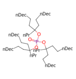 CCCCCCCCCCCCC(CCC)(CCCCCCCCCCCC)OP(=O)(OC(CCC)(CCCCCCCCCCCC)CCCCCCCCCCCC)OC(CCC)(CCCCCCCCCCCC)CCCCCCCCCCCC